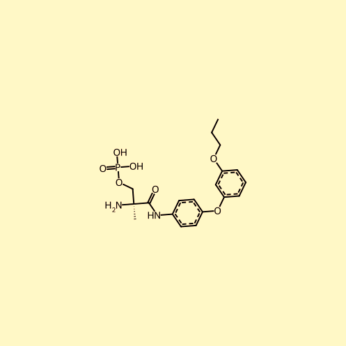 CCCOc1cccc(Oc2ccc(NC(=O)[C@@](C)(N)COP(=O)(O)O)cc2)c1